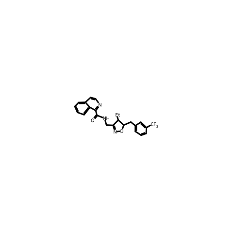 CCC1C(CNC(=O)c2nccc3ccccc23)=NOC1Cc1cccc(C(F)(F)F)c1